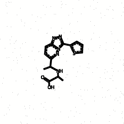 CC(NC(C)c1ccc2nnc(-c3cccs3)n2n1)C(=O)O